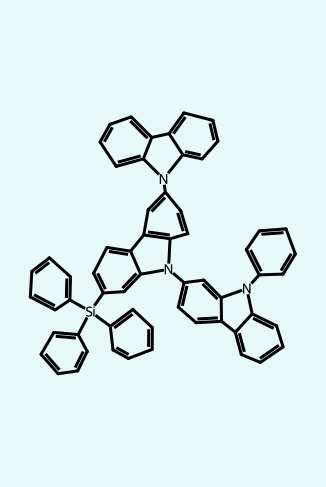 c1ccc(-n2c3ccccc3c3ccc(-n4c5ccc(-n6c7ccccc7c7ccccc76)cc5c5ccc([Si](c6ccccc6)(c6ccccc6)c6ccccc6)cc54)cc32)cc1